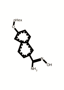 CCCCCCOc1ccc2cc(C(N)=NO)ccc2c1